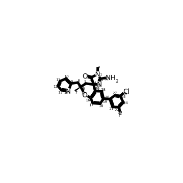 CN1C(=O)C2(C[C@@](C)(Cc3ccccn3)Oc3ccc(-c4cc(F)cc(Cl)c4)cc32)N=C1N